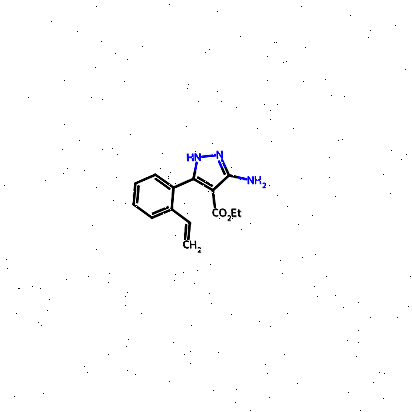 C=Cc1ccccc1-c1[nH]nc(N)c1C(=O)OCC